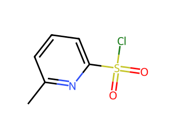 Cc1cccc(S(=O)(=O)Cl)n1